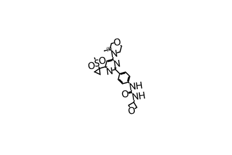 C[C@H]1COCCN1c1cc(C2(S(C)(=O)=O)CC2)nc(-c2ccc(NC(=O)NC3COC3)cc2)n1